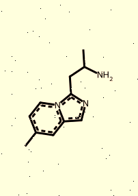 Cc1ccn2c(CC(C)N)ncc2c1